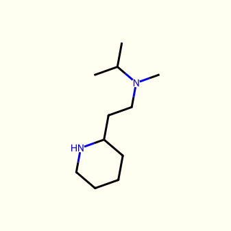 CC(C)N(C)CCC1CCCCN1